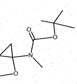 COC1(N(C)C(=O)OC(C)(C)C)CC1